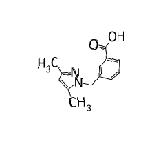 Cc1cc(C)n(Cc2cccc(C(=O)O)c2)n1